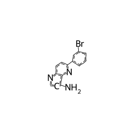 Nc1ccnc2ccc(-c3cccc(Br)c3)nc12